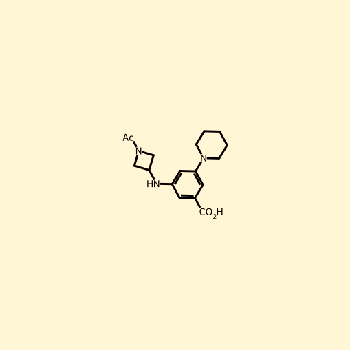 CC(=O)N1CC(Nc2cc(C(=O)O)cc(N3CCCCC3)c2)C1